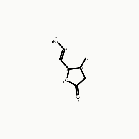 CCCCC=CC1OC(=O)CC1C